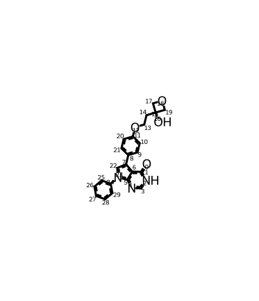 O=c1[nH]cnc2c1c(-c1ccc(OCCC3(O)COC3)cc1)cn2-c1ccccc1